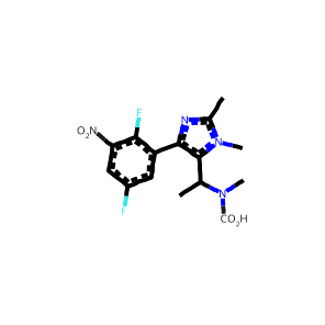 Cc1nc(-c2cc(F)cc([N+](=O)[O-])c2F)c(C(C)N(C)C(=O)O)n1C